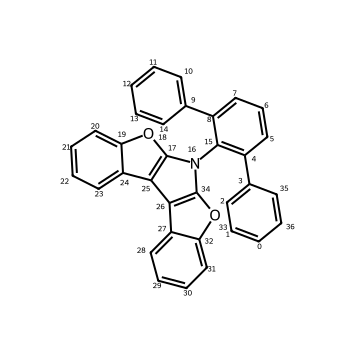 c1ccc(-c2cccc(-c3ccccc3)c2-n2c3oc4ccccc4c3c3c4ccccc4oc32)cc1